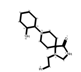 CC(C)CCN1CNC(=O)C12CCN(C1CCCCC1O)CC2